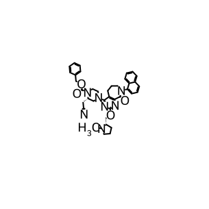 CN1CCC[C@H]1COc1nc2c(c(N3CCN(C(=O)OCc4ccccc4)[C@@H](CC#N)C3)n1)CCCN(c1cccc3ccccc13)C2=O